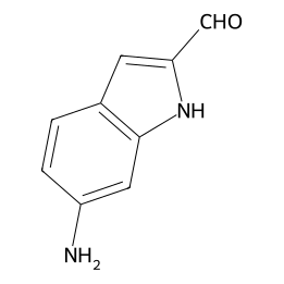 Nc1ccc2cc(C=O)[nH]c2c1